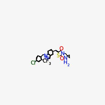 NC1(CN2C(=O)SC(=Cc3ccc4c(cnn4Cc4ccc(Cl)cc4C(F)(F)F)c3)C2=O)CC1